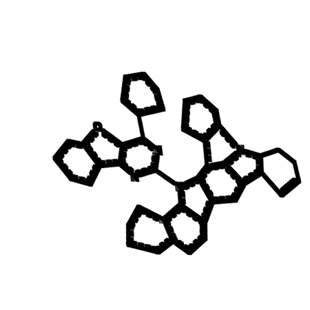 C1=Cc2c(n3c4ccccc4c4c5c(cc2c43)c2ccc3ccccc3c2n5-c2nc(-c3ccccc3)c3oc4ccccc4c3n2)CC1